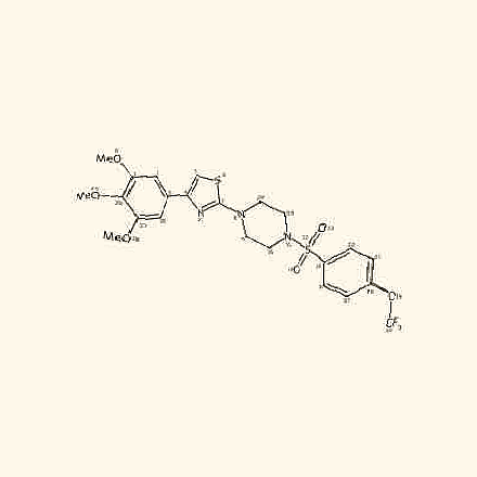 COc1cc(-c2csc(N3CCN(S(=O)(=O)c4ccc(OC(F)(F)F)cc4)CC3)n2)cc(OC)c1OC